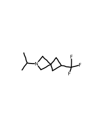 CC(C)N1CC2(CC(C(F)(F)F)C2)C1